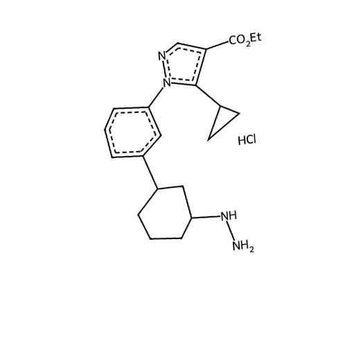 CCOC(=O)c1cnn(-c2cccc(C3CCCC(NN)C3)c2)c1C1CC1.Cl